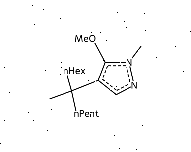 CCCCCCC(C)(CCCCC)c1cnn(C)c1OC